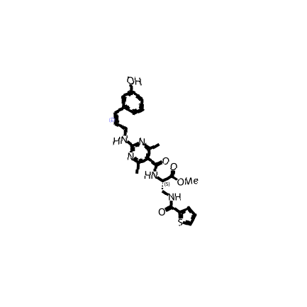 COC(=O)[C@H](CNC(=O)c1cccs1)NC(=O)c1c(C)nc(NC/C=C\c2cccc(O)c2)nc1C